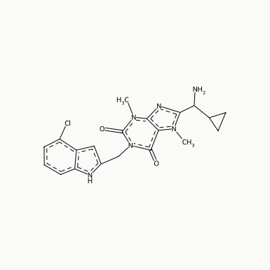 Cn1c(C(N)C2CC2)nc2c1c(=O)n(Cc1cc3c(Cl)cccc3[nH]1)c(=O)n2C